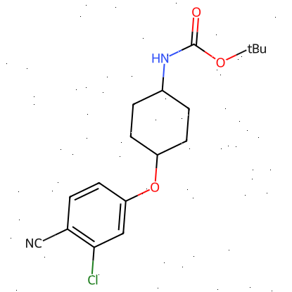 CC(C)(C)OC(=O)NC1CCC(Oc2ccc(C#N)c(Cl)c2)CC1